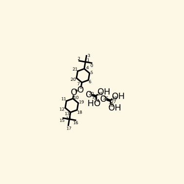 CC(C)(C)C1CCC(OOC2CCC(C(C)(C)C)CC2)CC1.O=C(O)O.O=C(O)O